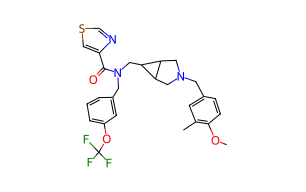 COc1ccc(CN2CC3C(C2)C3CN(Cc2cccc(OC(F)(F)F)c2)C(=O)c2cscn2)cc1C